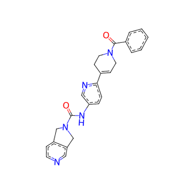 O=C(Nc1ccc(C2=CCN(C(=O)c3ccccc3)CC2)nc1)N1Cc2ccncc2C1